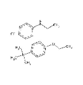 CCNc1ccccc1.CCOc1ccc([N+](C)(C)C)cc1.[Cl-]